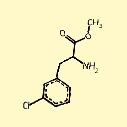 COC(=O)C(N)Cc1cccc(Cl)c1